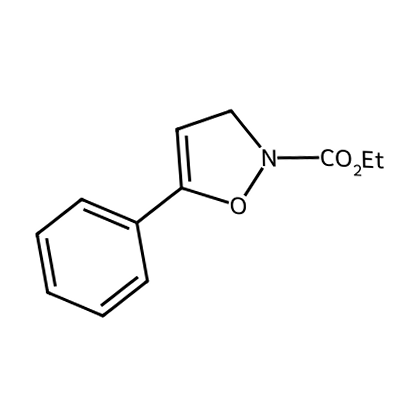 CCOC(=O)N1CC=C(c2ccccc2)O1